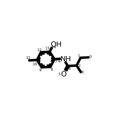 CCC(C)C(=O)Nc1ccc(C)cc1O